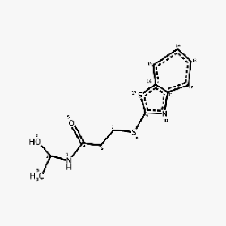 CC(O)NC(=O)CCSc1nc2ccccc2s1